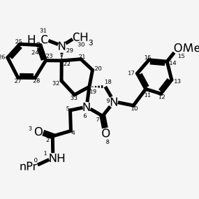 CCCNC(=O)CCN1C(=O)N(Cc2ccc(OC)cc2)C[C@]12CC[C@@](c1ccccc1)(N(C)C)CC2